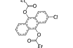 CCC(=O)Oc1c2ccccc2c(OC(=O)CC)c2cc(Cl)ccc12